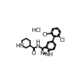 Cl.O=C(Nc1n[nH]c2ccc(-c3c(Cl)cccc3Cl)cc12)C1CCCNC1